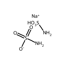 NS(=O)(=O)O.NS(=O)(=O)[O-].[Na+]